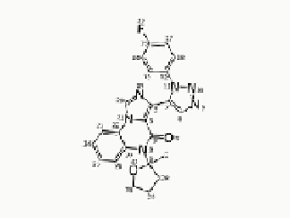 CC1(n2c(=O)c3c(-c4cnnn4-c4ccc(F)cc4)ncn3c3ccccc32)CCCO1